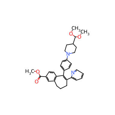 COC(=O)c1ccc2c(c1)CCCC(c1ccccn1)=C2c1ccc(N2CCC(C(OC)OC)CC2)cc1